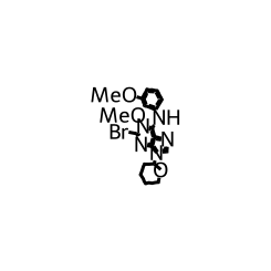 COc1cccc(Nc2nc(Br)nc3c2ncn3C2CCCCO2)c1OC